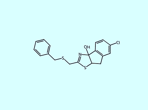 OC12N=C(CSCc3ccccc3)SC1Cc1cc(Cl)ccc12